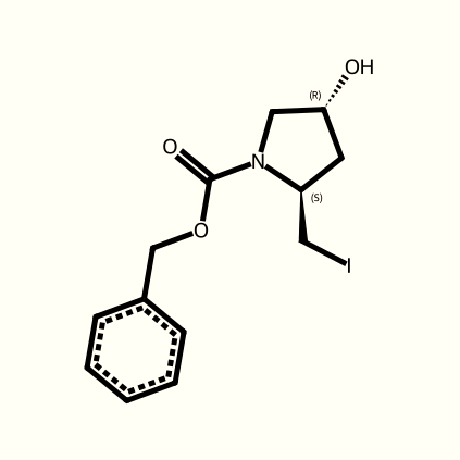 O=C(OCc1ccccc1)N1C[C@H](O)C[C@H]1CI